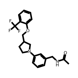 CC(=O)NCc1cccc(N2CCC(COc3ccccc3C(F)(F)F)C2)c1